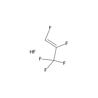 F.FC=C(F)C(F)(F)F